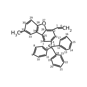 C=Cc1cc([Si](c2ccccc2)(c2ccccc2)c2ccccc2)cc2c1oc1ccc(C)cc12